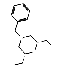 CC[C@H]1CN(Cc2ccccc2)C[C@@H](CO)O1